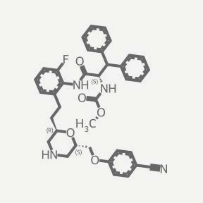 COC(=O)N[C@H](C(=O)Nc1c(F)cccc1CC[C@@H]1CNC[C@@H](COc2ccc(C#N)cc2)O1)C(c1ccccc1)c1ccccc1